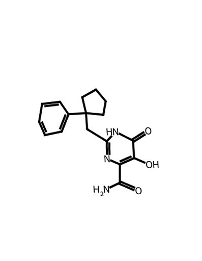 NC(=O)c1nc(CC2(c3ccccc3)CCCC2)[nH]c(=O)c1O